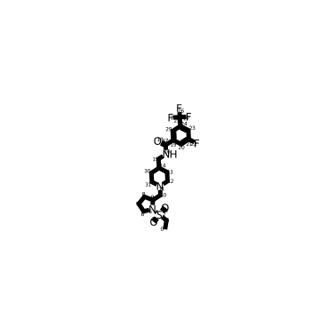 CCS(=O)(=O)N1CCCC1CN1CCC(CNC(=O)c2cc(F)cc(C(F)(F)F)c2)CC1